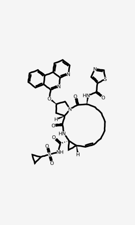 O=C(N[C@H]1CCCCC/C=C\[C@@H]2C[C@@]2(C(=O)NS(=O)(=O)C2CC2)NC(=O)[C@@H]2C[C@@H](Oc3nc4ncccc4c4ccccc34)CN2C1=O)c1cncs1